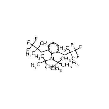 CC(C)(C)N(c1c(CC(C)(C)C(F)(F)F)cccc1CC(C)(C)C(F)(F)F)C(C)(C)C